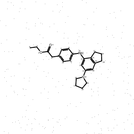 CCOC(=O)Cc1ccc(Nc2cc(N3CCCC3)cc3c2CCC3)cc1